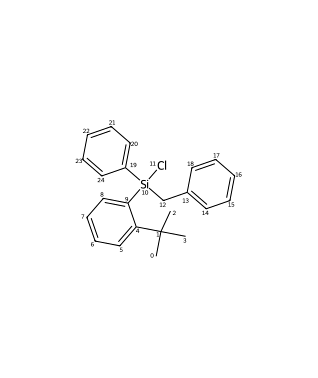 CC(C)(C)c1ccccc1[Si](Cl)(Cc1ccccc1)c1ccccc1